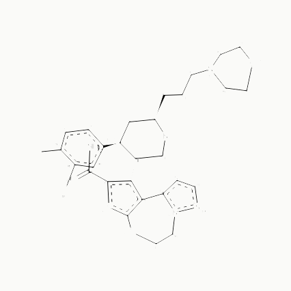 NC(=O)c1sc2c(c1[C@H]1CN[C@H](CCCN3CCOCC3)C[C@@H]1c1ccc(F)c(F)c1)-c1ccnn1CCO2